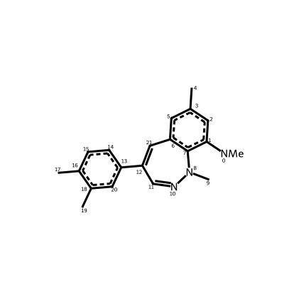 CNc1cc(C)cc2c1N(C)N=CC(c1ccc(C)c(C)c1)=C2